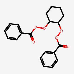 O=C(OO[C]1CC[CH]CC1OOC(=O)c1ccccc1)c1ccccc1